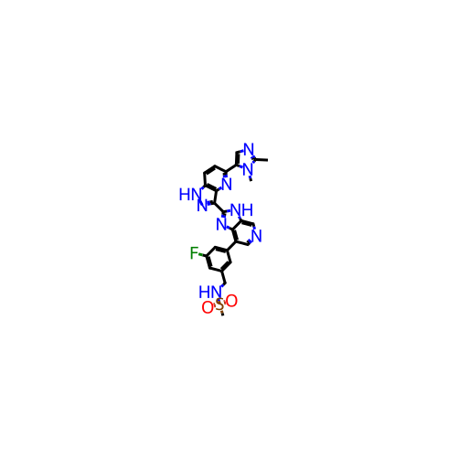 Cc1ncc(-c2ccc3[nH]nc(-c4nc5c(-c6cc(F)cc(CNS(C)(=O)=O)c6)cncc5[nH]4)c3n2)n1C